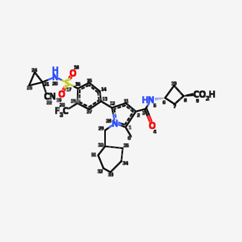 Cc1c(C(=O)N[C@H]2C[C@H](C(=O)O)C2)cc(-c2ccc(S(=O)(=O)NC3(C#N)CC3)c(C(F)(F)F)c2)n1CC1CCCCC1